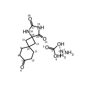 N.N.O=C(O)O.O=C1CCC2(CC1)CC1(C2)NC(=O)NC1=O